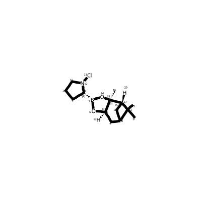 CC1(C)C2C[C@H]3OB([C@@H]4CCCN4Cl)O[C@@]3(C)[C@H]1C2